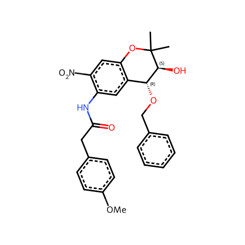 COc1ccc(CC(=O)Nc2cc3c(cc2[N+](=O)[O-])OC(C)(C)[C@@H](O)[C@@H]3OCc2ccccc2)cc1